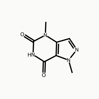 Cn1ncc2c1c(=O)[nH]c(=O)n2C